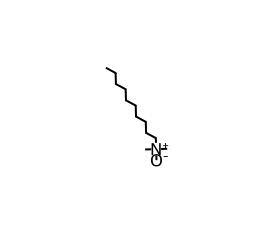 CCCCCCCCCC[N+](C)(C)[O-]